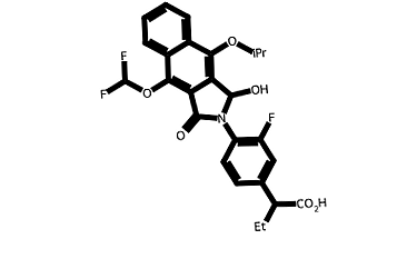 CCC(C(=O)O)c1ccc(N2C(=O)c3c(c(OC(C)C)c4ccccc4c3OC(F)F)C2O)c(F)c1